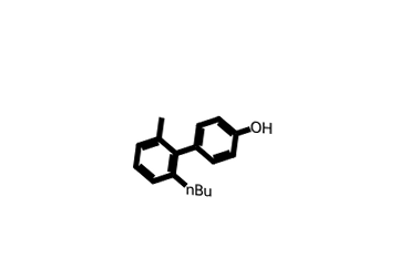 CCCCc1cccc(C)c1-c1ccc(O)cc1